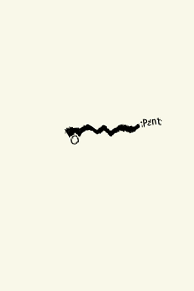 CCCCCCCCCCCC1[CH]O1